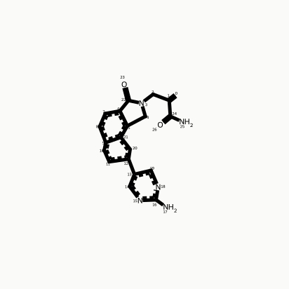 C=C(CN1Cc2c(ccc3ccc(-c4cnc(N)nc4)cc23)C1=O)C(N)=O